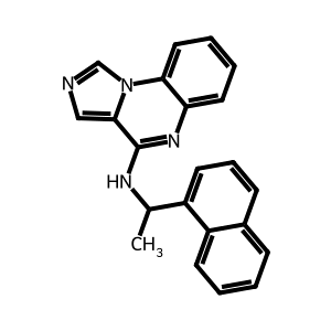 CC(Nc1nc2ccccc2n2cncc12)c1cccc2ccccc12